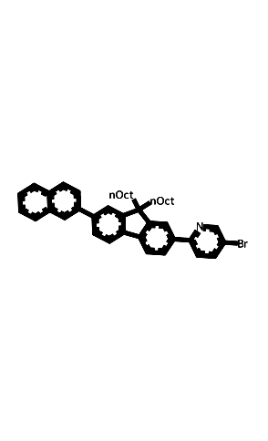 CCCCCCCCC1(CCCCCCCC)c2cc(-c3ccc4ccccc4c3)ccc2-c2ccc(-c3ccc(Br)cn3)cc21